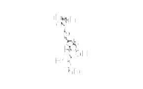 CCCC[C@H](C)C[C@H](O)/C=C/[C@@H]1[C@H]2CC(COCCC(=O)N(C(C)C)C(C)C)=C[C@H]2C[C@H]1O